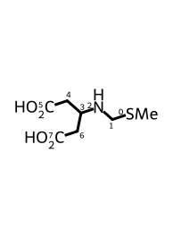 CSCNC(CC(=O)O)CC(=O)O